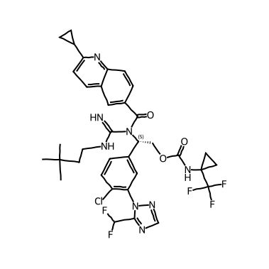 CC(C)(C)CCNC(=N)N(C(=O)c1ccc2nc(C3CC3)ccc2c1)[C@H](COC(=O)NC1(C(F)(F)F)CC1)c1ccc(Cl)c(-n2ncnc2C(F)F)c1